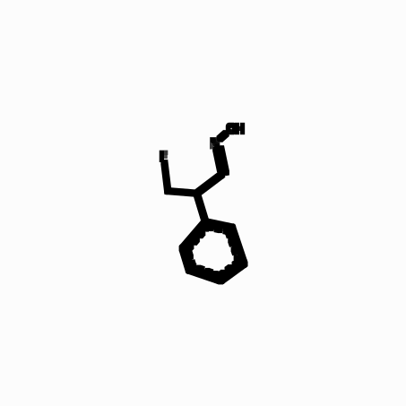 ON=CC(CF)c1ccccc1